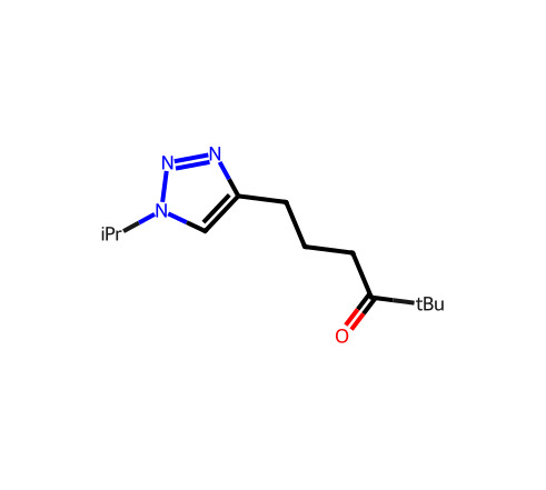 CC(C)n1cc(CCCC(=O)C(C)(C)C)nn1